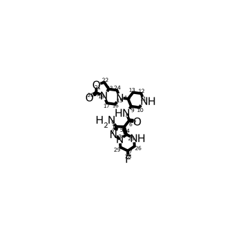 Nc1nn2c(c1C(=O)NC1CNCCC1N1CCN3C(=O)OCC3C1)NCC(F)C2